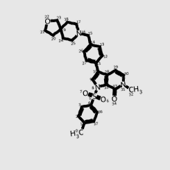 Cc1ccc(S(=O)(=O)n2cc(-c3ccc(CN4CCC5(CCOC5)CC4)cc3)c3ccn(C)c(=O)c32)cc1